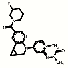 CN(C=O)/N=c1/cc(N2CC3CC3c3cc(C(=O)N4CCCC(F)C4)cnc32)ccn1C